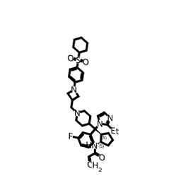 C=CC(=O)N[C@H]1CCC[C@@H]1C(c1cccc(F)c1)(C1CCN(CC2CN(c3ccc(S(=O)(=O)C4CCCCC4)cc3)C2)CC1)n1ccnc1CC